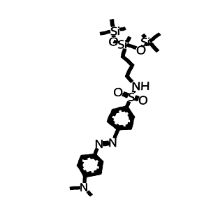 CN(C)c1ccc(/N=N/c2ccc(S(=O)(=O)NCCC[Si](C)(O[Si](C)(C)C)O[Si](C)(C)C)cc2)cc1